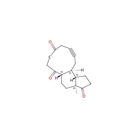 C[C@]12CC[C@@H]3C(=O)CCC(=O)CC#CC[C@H]3[C@@H]1CCC2=O